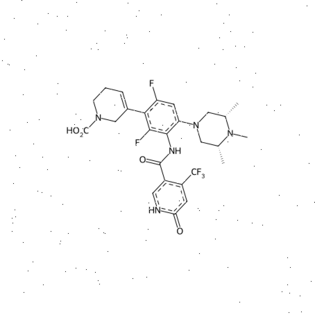 C[C@@H]1CN(c2cc(F)c(C3=CCCN(C(=O)O)C3)c(F)c2NC(=O)c2c[nH]c(=O)cc2C(F)(F)F)C[C@H](C)N1C